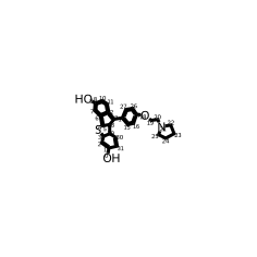 OC1=CC2SC3=c4cc(O)ccc4=C(c4ccc(OCCN5CCCC5)cc4)C3C2C=C1